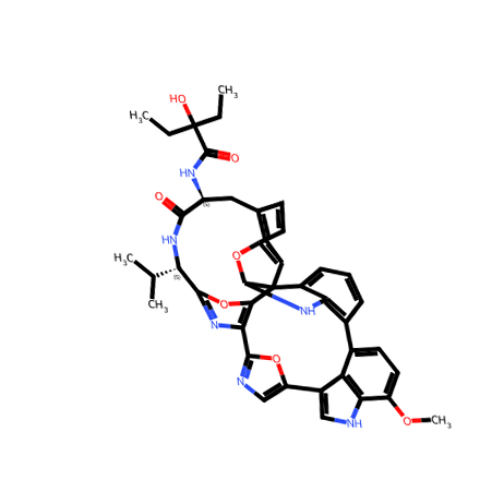 CCC(O)(CC)C(=O)N[C@H]1Cc2ccc3c(c2)C24c5cccc(c5NC2O3)-c2ccc(OC)c3[nH]cc(c23)-c2cnc(o2)-c2nc(oc24)[C@H](C(C)C)NC1=O